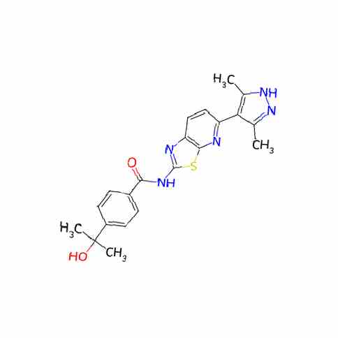 Cc1n[nH]c(C)c1-c1ccc2nc(NC(=O)c3ccc(C(C)(C)O)cc3)sc2n1